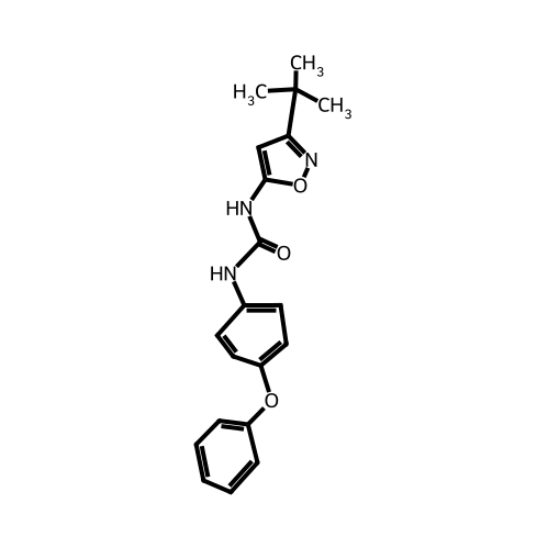 CC(C)(C)c1cc(NC(=O)Nc2ccc(Oc3ccccc3)cc2)on1